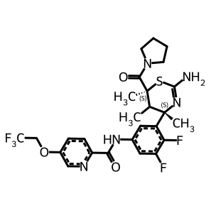 CC1[C@@](C)(C(=O)N2CCCC2)SC(N)=N[C@]1(C)c1cc(NC(=O)c2ccc(OCC(F)(F)F)cn2)cc(F)c1F